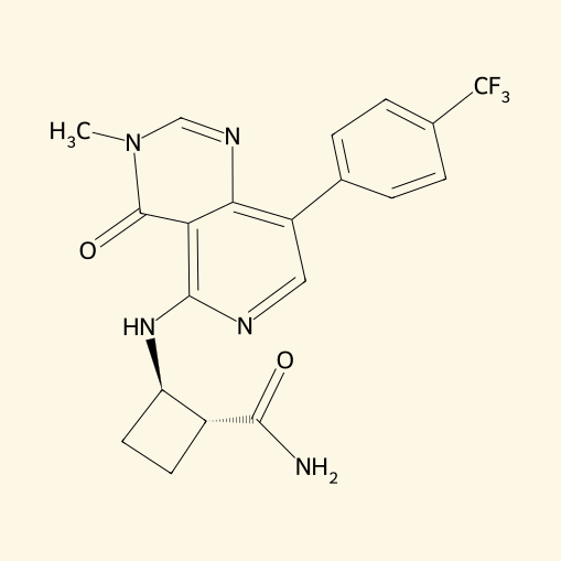 Cn1cnc2c(-c3ccc(C(F)(F)F)cc3)cnc(N[C@@H]3CC[C@H]3C(N)=O)c2c1=O